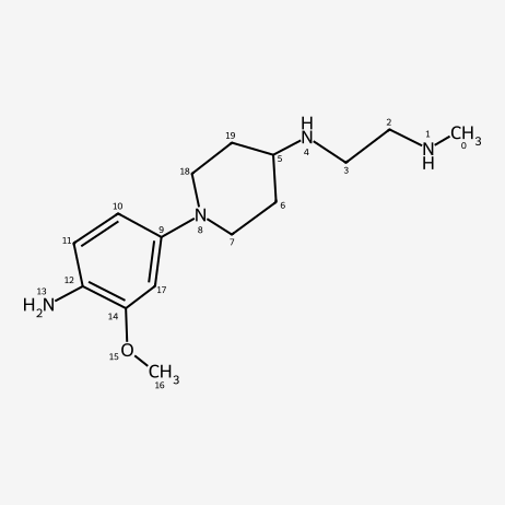 CNCCNC1CCN(c2ccc(N)c(OC)c2)CC1